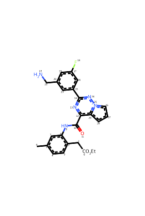 CCOC(=O)Cc1ccc(C)cc1NC(=O)c1nc(-c2cc(F)cc(CN)c2)nn2cccc12